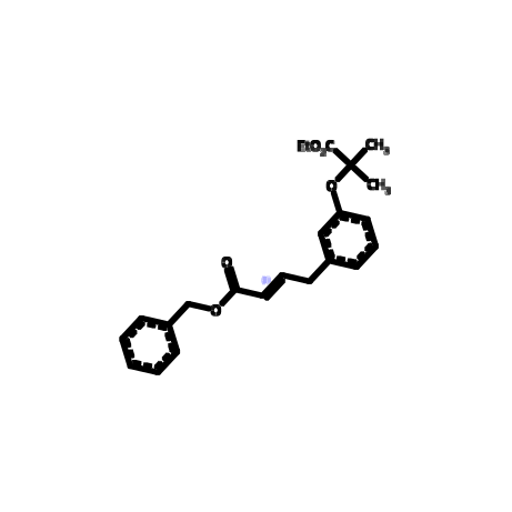 CCOC(=O)C(C)(C)Oc1cccc(C/C=C/C(=O)OCc2ccccc2)c1